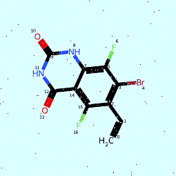 C=Cc1c(Br)c(F)c2[nH]c(=O)[nH]c(=O)c2c1F